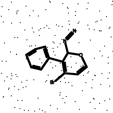 [N]=NC1OC=CC(Br)=C1c1ccccc1